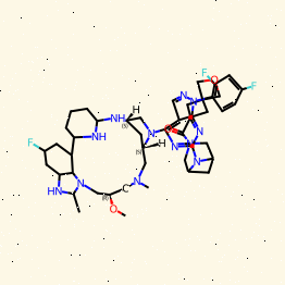 CO[C@@H]1CN(C)C[C@@H]2C[C@@H](CN2c2nc(N3C4CC3CN(C(=O)C3CC5(COC5)C3)C4)nc3c2cnn3-c2ccc(F)cc2F)NC2CCCC(N2)C2CC(F)CC3NC(C)N(C1)C32